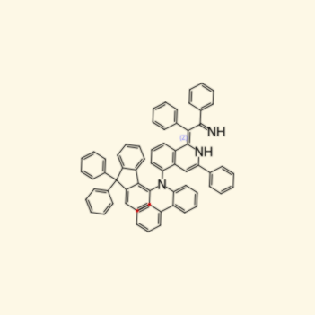 N=C(/C(=C1\NC(c2ccccc2)=Cc2c1cccc2N(c1ccccc1-c1ccccc1)c1cccc2c1-c1ccccc1C2(c1ccccc1)c1ccccc1)c1ccccc1)c1ccccc1